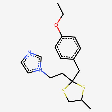 CCOc1ccc(CC2(CCn3ccnc3)SCC(C)S2)cc1